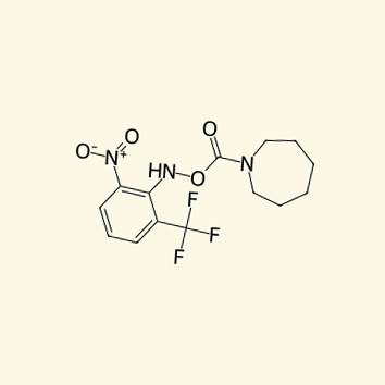 O=C(ONc1c([N+](=O)[O-])cccc1C(F)(F)F)N1CCCCCC1